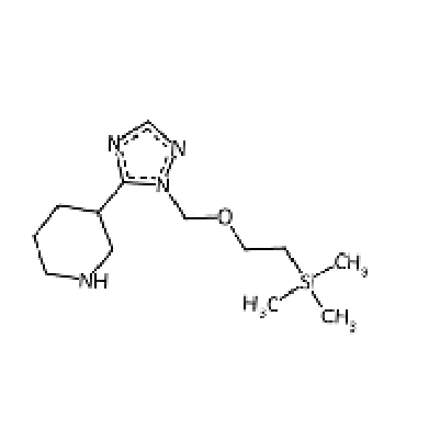 C[Si](C)(C)CCOCn1ncnc1C1CCCNC1